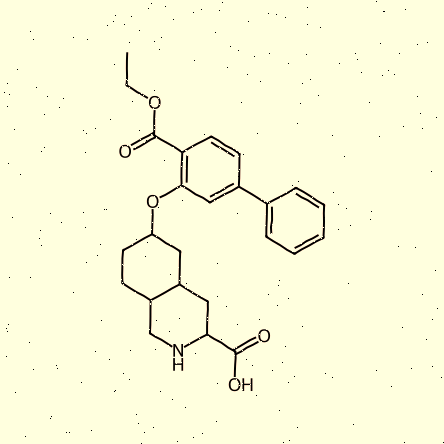 CCOC(=O)c1ccc(-c2ccccc2)cc1OC1CCC2CNC(C(=O)O)CC2C1